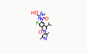 CCN(C)/C(CO)=N\N(C=O)c1cc2c(C(C)C)cn(-c3cc(C)ncc3C)c(=O)c2cc1F